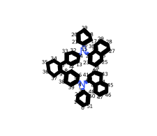 c1ccc(N(c2ccc(C3=C(c4ccc(N(c5ccccc5)c5cccc6ccccc56)cc4)CCCC3)cc2)c2cccc3ccccc23)cc1